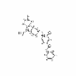 Cn1c2c(c3cc(Cn4ccc(OCc5ccccc5)cc4=O)ccc31)CNCC2